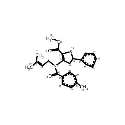 COC(=O)C1=C(N(CC=C(C)C)C(=O)c2ccc(C)cc2)CC(c2ccccc2)S1